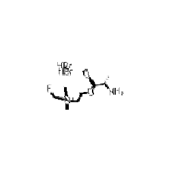 Br.Br.C[C@H](N)C(=O)OCC[N+](C)(C)CF